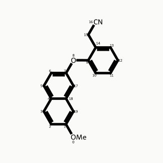 COc1ccc2ccc(Oc3ccccc3CC#N)cc2c1